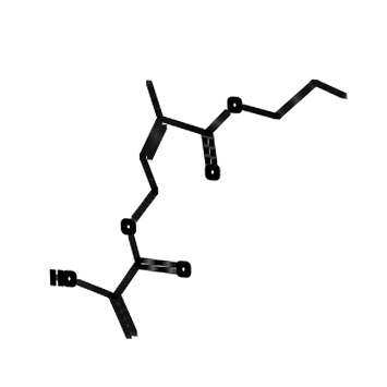 C=C(O)C(=O)OCC=C(C)C(=O)OCCC